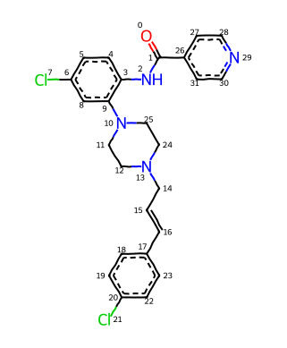 O=C(Nc1ccc(Cl)cc1N1CCN(CC=Cc2ccc(Cl)cc2)CC1)c1ccncc1